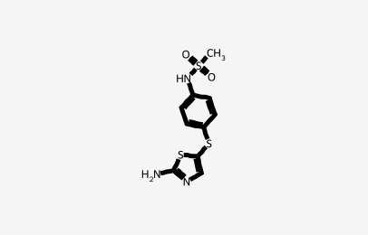 CS(=O)(=O)Nc1ccc(Sc2cnc(N)s2)cc1